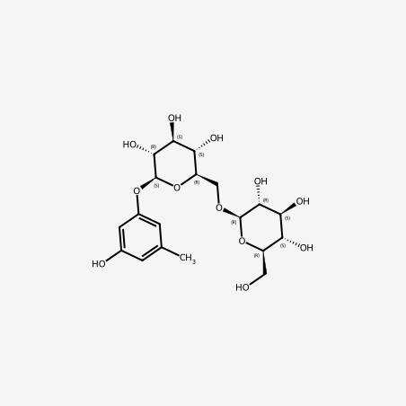 Cc1cc(O)cc(O[C@@H]2O[C@H](CO[C@@H]3O[C@H](CO)[C@@H](O)[C@H](O)[C@H]3O)[C@@H](O)[C@H](O)[C@H]2O)c1